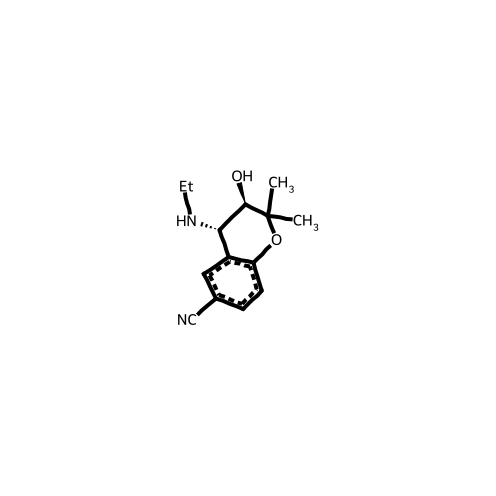 CCN[C@H]1c2cc(C#N)ccc2OC(C)(C)[C@@H]1O